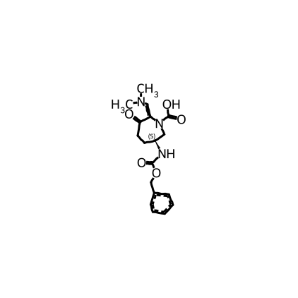 CN(C)C=C1C(=O)CC[C@H](NC(=O)OCc2ccccc2)CN1C(=O)O